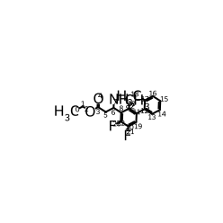 CCOC(=O)CC(N)c1c(C)c(-c2ccccc2C)cc(F)c1F